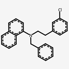 Clc1cccc(CCN(Cc2ccccc2)c2cccc3ccccc23)c1